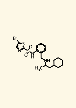 CC(CC1CCCCC1)NCc1ccccc1NS(=O)(=O)c1ncc(Br)s1